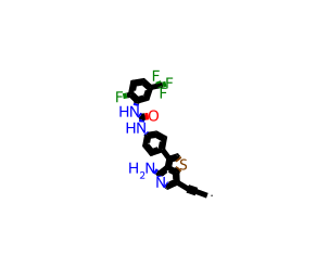 [CH2]C#Cc1cnc(N)c2c(-c3ccc(NC(=O)Nc4cc(C(F)(F)F)ccc4F)cc3)csc12